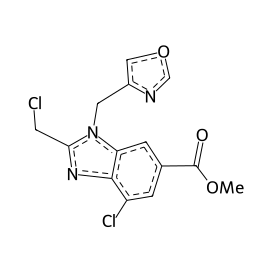 COC(=O)c1cc(Cl)c2nc(CCl)n(Cc3cocn3)c2c1